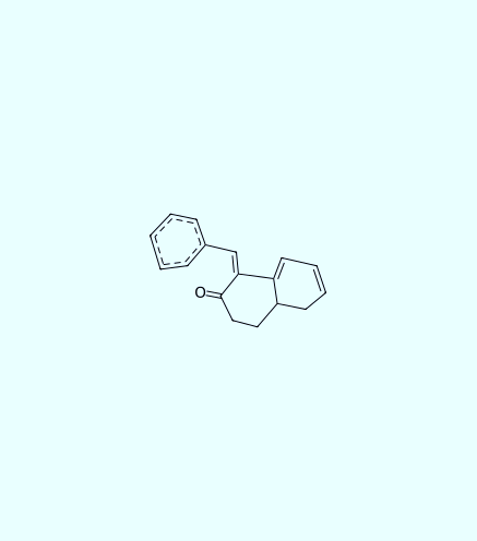 O=C1CCC2CC=CC=C2C1=Cc1ccccc1